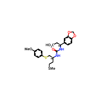 COc1ccc(SC[C@H](CCSC)NC(=O)N[C@@H](CC(=O)O)c2ccc3c(c2)OCO3)cc1